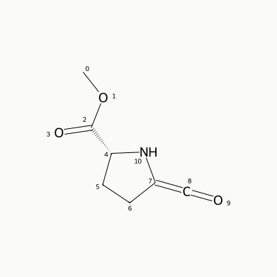 COC(=O)[C@H]1CCC(=C=O)N1